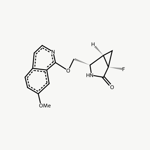 COc1ccc2ccnc(OC[C@H]3NC(=O)[C@]4(F)C[C@H]34)c2c1